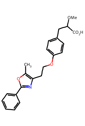 COC(Cc1ccc(OCCc2nc(-c3ccccc3)oc2C)cc1)C(=O)O